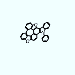 c1ccc(-n2c3ccccc3c3c4oc5cccc6c5c4c4c(ccc5oc7cccc-6c7c54)c32)cc1